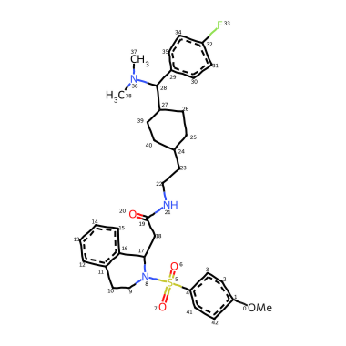 COc1ccc(S(=O)(=O)N2CCc3ccccc3C2CC(=O)NCCC2CCC(C(c3ccc(F)cc3)N(C)C)CC2)cc1